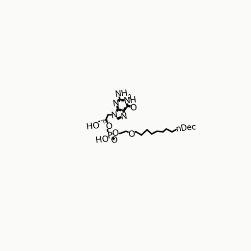 CCCCCCCCCCCCCCCCCCOCCOP(=O)(O)CO[C@H](CO)Cn1cnc2c(=O)[nH]c(N)nc21